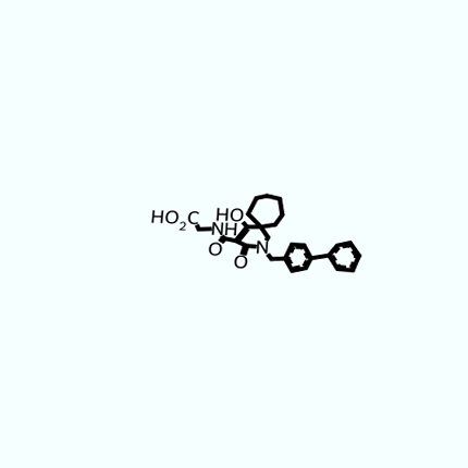 O=C(O)CNC(=O)C1=C(O)C2(CCCCCC2)CN(Cc2ccc(-c3ccccc3)cc2)C1=O